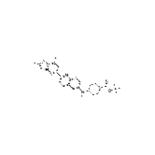 Cc1cn2nc(-c3ccc4cc(N(C)C5CCN(C(=O)OC(C)(C)C)CC5)cnc4n3)cc(C)c2n1